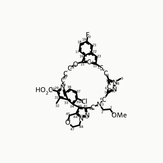 COCCN1Cc2cc(n(C)n2)CSc2cc(c3ccc(F)cc3c2)OCCCn2c(C(=O)O)c(C)c3c(c(Cl)ccc32)-c2c(nn3c2COCC3)C1